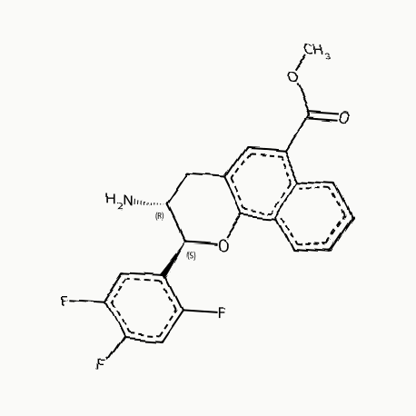 COC(=O)c1cc2c(c3ccccc13)O[C@@H](c1cc(F)c(F)cc1F)[C@H](N)C2